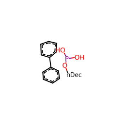 CCCCCCCCCCOP(O)O.c1ccc(-c2ccccc2)cc1